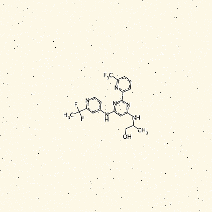 CC(CO)Nc1cc(Nc2ccnc(C(C)(F)F)c2)nc(-c2cccc(C(F)(F)F)n2)n1